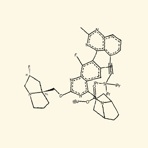 Cc1nc(-c2c(F)cc3c(N4CC5CCC(C4)N5C(=O)OC(C)(C)C)nc(OC[C@@]45CCCN4C[C@H](F)C5)nc3c2F)c2c(C#C[Si](C(C)C)(C(C)C)C(C)C)cccc2n1